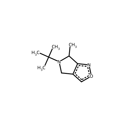 CC1c2nocc2CN1C(C)(C)C